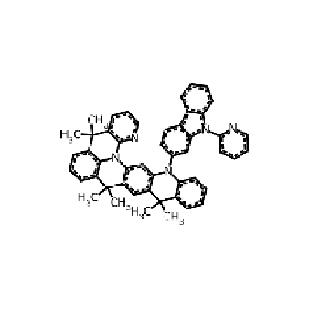 CC1(C)c2ccccc2N(c2ccc3c4ccccc4n(-c4ccccn4)c3c2)c2cc3c(cc21)C(C)(C)c1cccc2c1N3c1ncccc1C2(C)C